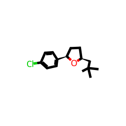 CC(C)(C)C[C@@H]1CC[C@H](c2ccc(Cl)cc2)O1